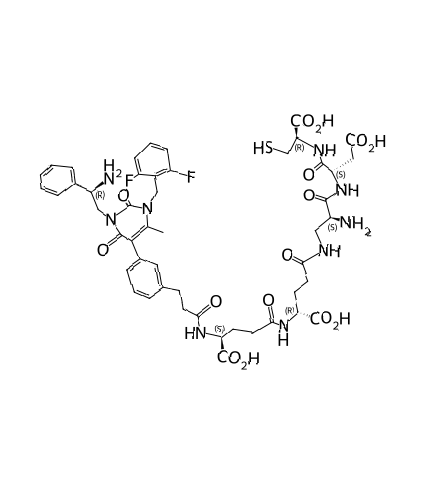 Cc1c(-c2cccc(CCC(=O)N[C@@H](CCC(=O)N[C@H](CCC(=O)NC[C@H](N)C(=O)N[C@@H](CC(=O)O)C(=O)N[C@@H](CS)C(=O)O)C(=O)O)C(=O)O)c2)c(=O)n(C[C@H](N)c2ccccc2)c(=O)n1Cc1c(F)cccc1F